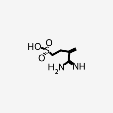 C=C(CCS(=O)(=O)O)C(=N)N